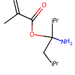 C=C(C)C(=O)OC(N)(CC(C)C)C(C)C